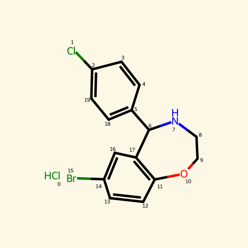 Cl.Clc1ccc(C2NCCOc3ccc(Br)cc32)cc1